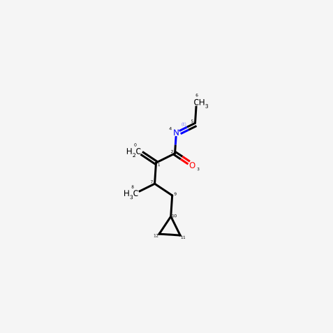 C=C(C(=O)/N=C/C)C(C)CC1CC1